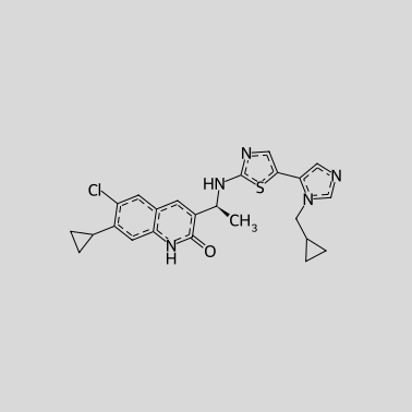 C[C@H](Nc1ncc(-c2cncn2CC2CC2)s1)c1cc2cc(Cl)c(C3CC3)cc2[nH]c1=O